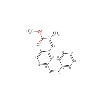 COC(=O)C(C)=Cc1cccc2ccc3ccccc3c12